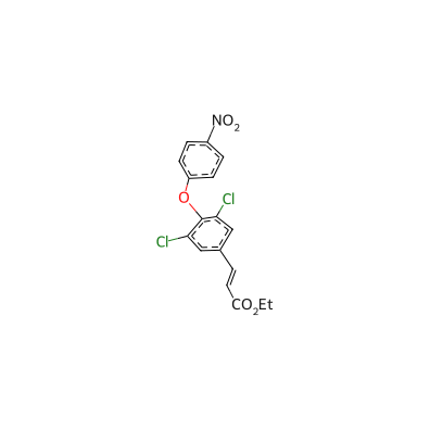 CCOC(=O)C=Cc1cc(Cl)c(Oc2ccc([N+](=O)[O-])cc2)c(Cl)c1